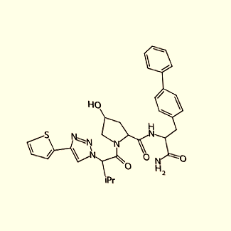 CC(C)C(C(=O)N1CC(O)CC1C(=O)NC(Cc1ccc(-c2ccccc2)cc1)C(N)=O)n1cc(-c2cccs2)nn1